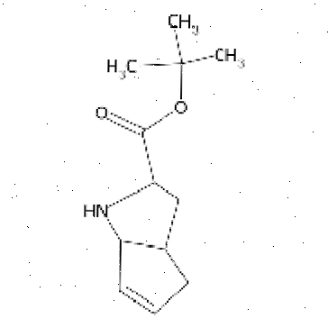 CC(C)(C)OC(=O)C1CC2CC=CC2N1